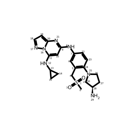 CS(=O)(=O)Cc1cc(Nc2cc(NC3CC3)n3nccc3n2)ccc1N1CC[C@@H](N)C1